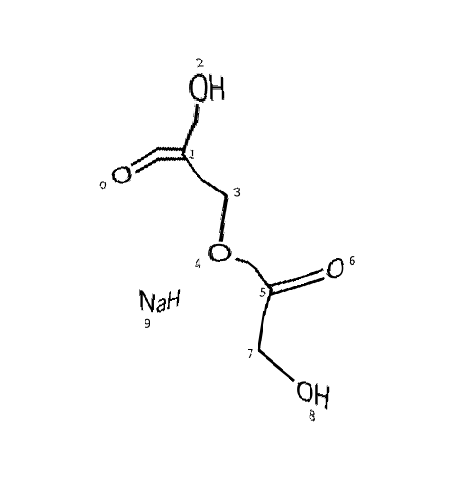 O=C(O)COC(=O)CO.[NaH]